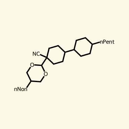 CCCCCCCCCC1COC(C2(C#N)CCC(C3CCC(CCCCC)CC3)CC2)OC1